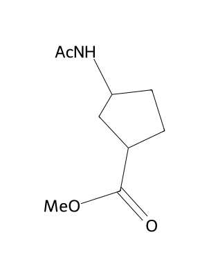 COC(=O)C1CCC(NC(C)=O)C1